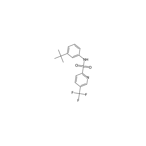 CC(C)(C)c1cccc(NS(=O)(=O)c2ccc(C(F)(F)F)cn2)c1